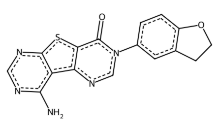 Nc1ncnc2sc3c(=O)n(-c4ccc5c(c4)CCO5)cnc3c12